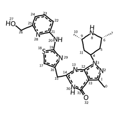 Cc1nn(C2C[C@@H](C)N[C@@H](C)C2)c2nc(Cc3csc(Nc4cccc(CO)n4)n3)[nH]c(=O)c12